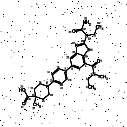 CCN(C)C(=O)c1cc(-c2cnc(N3CCC(C)(C(=O)O)CC3)nc2)cc2nc(N(CC)C(N)=O)sc12